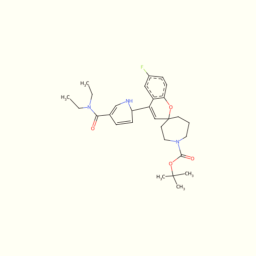 CCN(CC)C(=O)C1=CNC(C2=CC3(CCCN(C(=O)OC(C)(C)C)CC3)Oc3ccc(F)cc32)C=C1